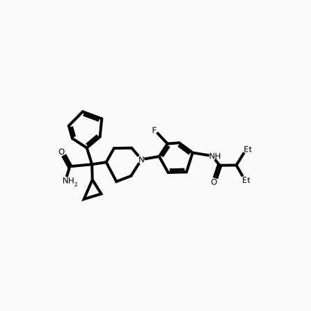 CCC(CC)C(=O)Nc1ccc(N2CCC(C(C(N)=O)(c3ccccc3)C3CC3)CC2)c(F)c1